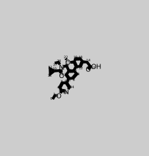 CCOc1ccc(-c2ccc(-c3cc(CC(=O)O)ccc3OC)c(CN(CC)C(=O)C3CC3)c2)cn1